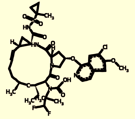 CC[C@@H]1C[C@@H](C)CCC=C[C@@H]2C[C@@]2(C(=O)NS(=O)(=O)C2(C)CC2)NC(=O)[C@@H]2C[C@@H](Oc3nccc4cc(OC)c(Cl)cc34)CN2C(=O)[C@H]1N(C(=O)O)C(C)(C)C(F)F